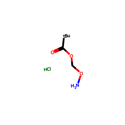 CC(C)(C)C(=O)OCON.Cl